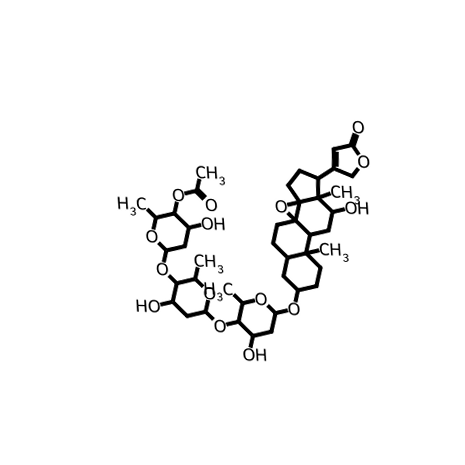 CC(=O)OC1C(O)CC(OC2C(O)CC(OC3C(O)CC(OC4CCC5(C)C(CCC67OC68CCC(C6=CC(=O)OC6)C8(C)C(O)CC57)C4)OC3C)OC2C)OC1C